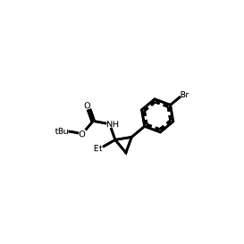 CCC1(NC(=O)OC(C)(C)C)CC1c1ccc(Br)cc1